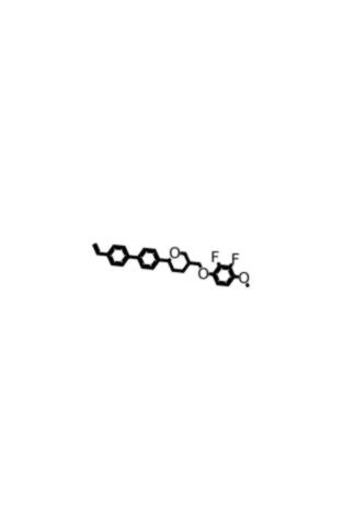 C=Cc1ccc(-c2ccc(C3CCC(COc4ccc(OC)c(F)c4F)CO3)cc2)cc1